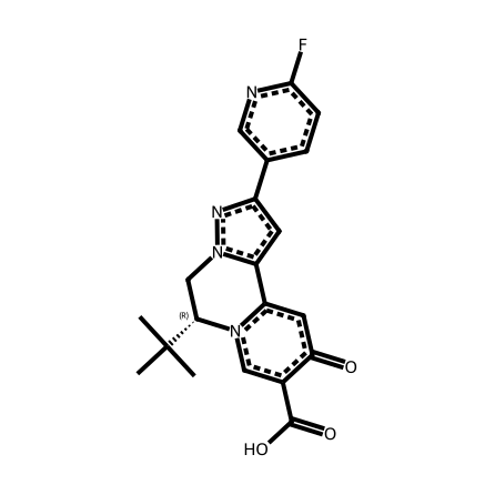 CC(C)(C)[C@@H]1Cn2nc(-c3ccc(F)nc3)cc2-c2cc(=O)c(C(=O)O)cn21